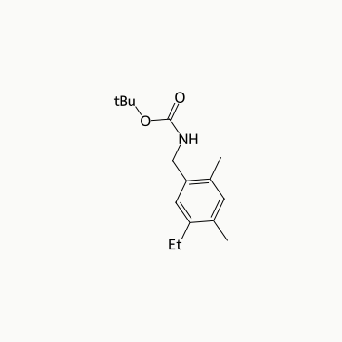 CCc1cc(CNC(=O)OC(C)(C)C)c(C)cc1C